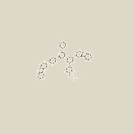 c1ccc(-c2nc(-c3ccc(-c4ccc5sc6ccccc6c5c4)cc3)nc(-c3cc(-c4ccc5c(c4)C4CCCC4S5)cc(-c4ccc5sc6ccccc6c5c4)c3)n2)cc1